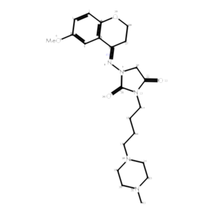 COc1ccc2c(c1)/C(=N/N1CC(=O)N(CCCCN3CCN(C)CC3)C1=O)CCO2